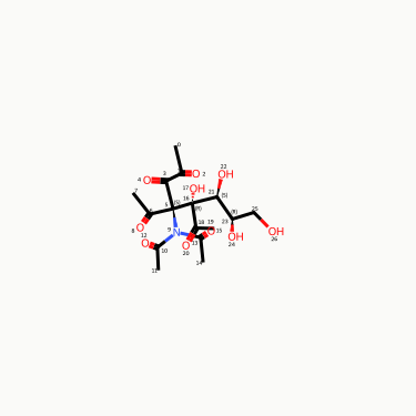 CC(=O)C(=O)[C@](C(C)=O)(N(C(C)=O)C(C)=O)[C@](O)(C(C)=O)[C@@H](O)[C@H](O)CO